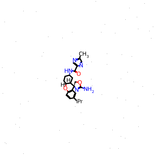 Cc1cnc(C(=O)N[C@@H]2CC[C@H]3Oc4ccc(C(C)C)cc4[C@]4(COC(N)=N4)[C@@H]3C2)cn1